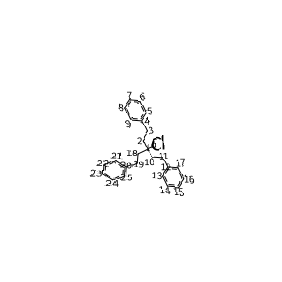 ClC(CCc1ccccc1)(CCc1ccccc1)CCc1ccccc1